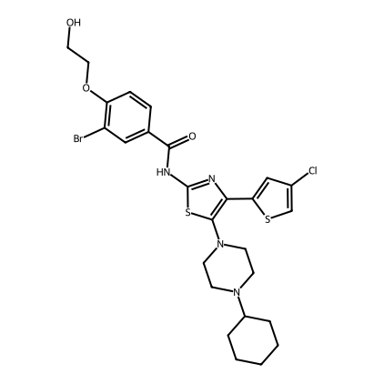 O=C(Nc1nc(-c2cc(Cl)cs2)c(N2CCN(C3CCCCC3)CC2)s1)c1ccc(OCCO)c(Br)c1